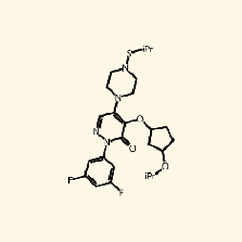 CC(C)OC1CCC(Oc2c(N3CCN(SC(C)C)CC3)cnn(-c3cc(F)cc(F)c3)c2=O)C1